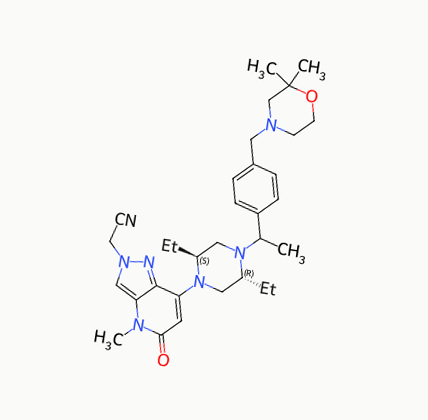 CC[C@H]1CN(C(C)c2ccc(CN3CCOC(C)(C)C3)cc2)[C@H](CC)CN1c1cc(=O)n(C)c2cn(CC#N)nc12